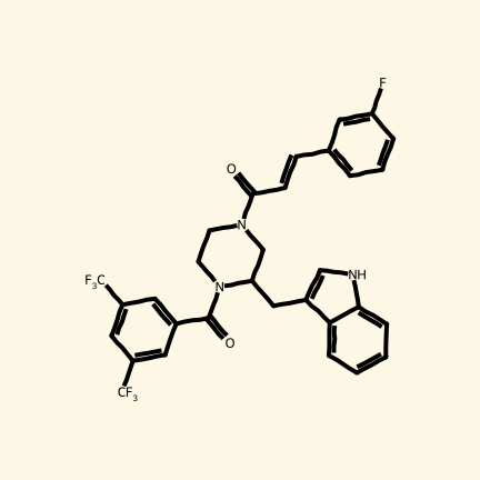 O=C(C=Cc1cccc(F)c1)N1CCN(C(=O)c2cc(C(F)(F)F)cc(C(F)(F)F)c2)C(Cc2c[nH]c3ccccc23)C1